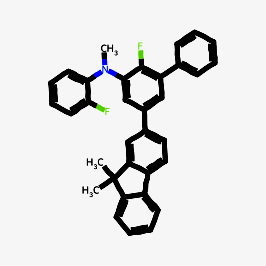 CN(c1ccccc1F)c1cc(-c2ccc3c(c2)C(C)(C)c2ccccc2-3)cc(-c2ccccc2)c1F